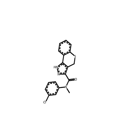 CN(C(=O)c1n[nH]c2c1CSc1ccccc1-2)c1cccc(Cl)c1